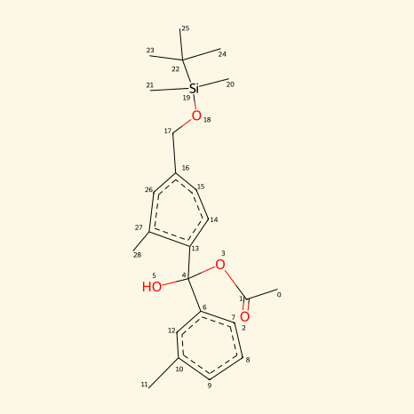 CC(=O)OC(O)(c1cccc(C)c1)c1ccc(CO[Si](C)(C)C(C)(C)C)cc1C